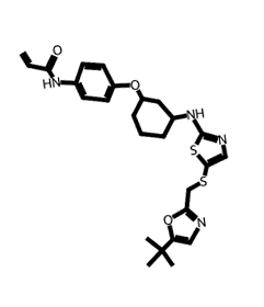 C=CC(=O)Nc1ccc(OC2CCCC(Nc3ncc(SCc4ncc(C(C)(C)C)o4)s3)C2)cc1